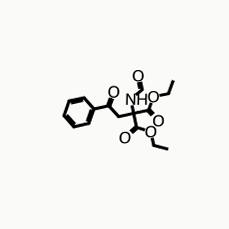 CCOC(=O)C(CC(=O)c1ccccc1)(NC=O)C(=O)OCC